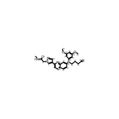 CNC(=O)Cn1cc(-c2cnc3ccc(N(CCCC#N)c4cc(OC)cc(OC)c4)cc3n2)cn1